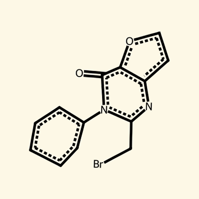 O=c1c2occc2nc(CBr)n1-c1ccccc1